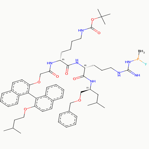 BP(F)NC(=N)NCCC[C@@H](NC(=O)[C@@H](CCCCNC(=O)OC(C)(C)C)NC(=O)COc1ccc2ccccc2c1-c1c(OCCC(C)C)ccc2ccccc12)C(=O)N[C@H](COCc1ccccc1)CC(C)C